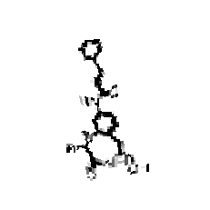 CC(C)C1C(=O)N[C@H](CO)Cc2ccc(NC(=O)CCc3ccccc3)cc2N1C